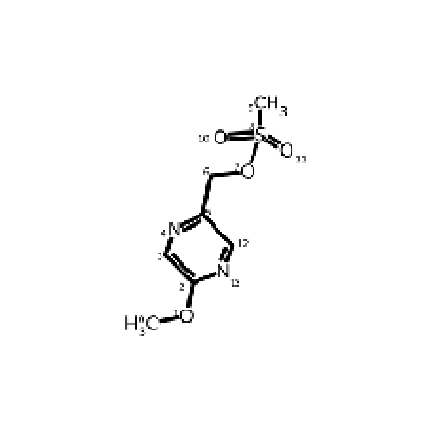 COc1cnc(COS(C)(=O)=O)cn1